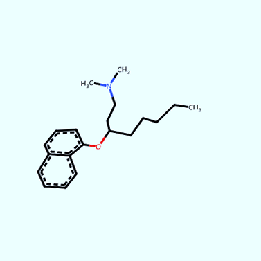 CCCCCC(CCN(C)C)Oc1cccc2ccccc12